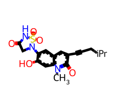 CC(C)CC#Cc1cc2cc(N3CC(=O)NS3(=O)=O)c(O)cc2n(C)c1=O